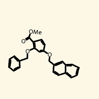 COC(=O)c1ccc(OCc2ccc3ccccc3c2)cc1OCc1ccccc1